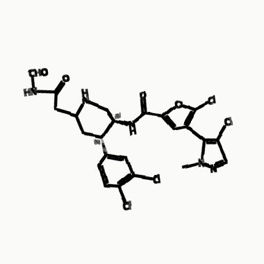 Cn1ncc(Cl)c1-c1cc(C(=O)N[C@@H]2CNC(CC(=O)NC=O)C[C@H]2c2ccc(Cl)c(Cl)c2)oc1Cl